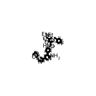 CCN(CC)C(=O)c1cn(Cc2ccc(F)cc2)cc(C(=O)Nc2ccc(-c3cc(-c4cnn(C[C@H]5COCCO5)c4)cnc3N)cc2)c1=O